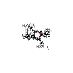 CC(C)OC(=O)OCSP1(=O)OC[C@H]2O[C@@H](n3cnc4c(=O)[nH]c(N)nc43)C(F)C2OP(=O)(SCOC(=O)OC(C)C)OC[C@H]2O[C@@H](n3cnc4c(=O)[nH]c(N)nc43)C(O1)C2O